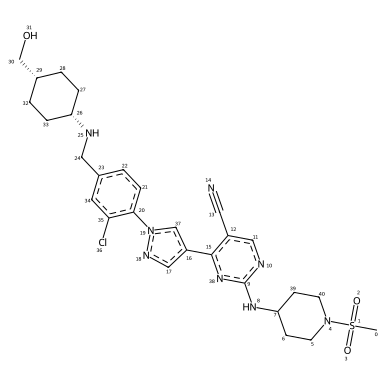 CS(=O)(=O)N1CCC(Nc2ncc(C#N)c(-c3cnn(-c4ccc(CN[C@H]5CC[C@@H](CO)CC5)cc4Cl)c3)n2)CC1